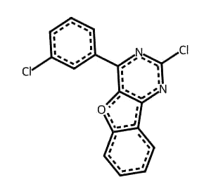 Clc1cccc(-c2nc(Cl)nc3c2oc2ccccc23)c1